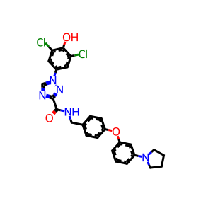 O=C(NCc1ccc(Oc2cccc(N3CCCC3)c2)cc1)c1ncn(-c2cc(Cl)c(O)c(Cl)c2)n1